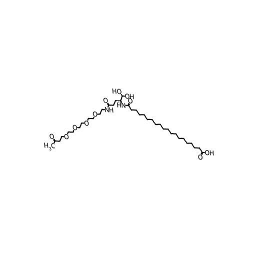 CC(=O)CCOCCOCCOCCOCCNC(=O)CC[C@H](NC(=O)CCCCCCCCCCCCCCCCCCC(=O)O)C(O)O